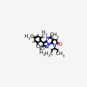 CCC(CC)N1C(=O)Cc2c(C)nc3c(-c4c(C)cc(C)cc4C)c(C)nn3c21